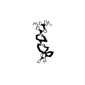 CC(C)OC(=O)N1CCC(N2CCC3(CC2)OC(=O)Nc2ccccc23)CC1